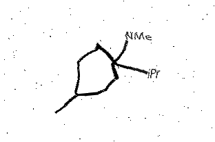 CNC1(C(C)C)CCC(C)C1